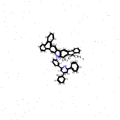 CC1(C)c2ccccc2-c2cc3c4cc5c6ccccc6c6ccccc6c5cc4n(-c4cccc(-c5cc(-c6ccccc6)cc(-c6ccccc6)n5)c4)c3cc21